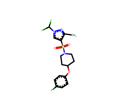 Cc1nn(C(F)F)cc1S(=O)(=O)N1CCC(Oc2ccc(F)cc2)CC1